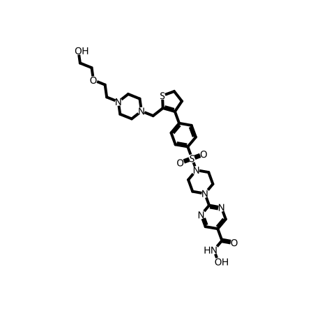 O=C(NO)c1cnc(N2CCN(S(=O)(=O)c3ccc(C4=C(CN5CCN(CCOCCO)CC5)SCC4)cc3)CC2)nc1